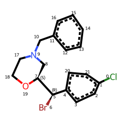 Clc1ccc([C@@H](Br)[C@@H]2CN(Cc3ccccc3)CCO2)cc1